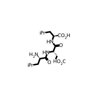 CC(C)C[C@H](NC(=O)[C@H](CC(=O)O)NC(=O)[C@@H](N)CC(C)C)C(=O)O